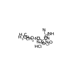 C[Si](C)(C)CCOCn1ccc2c(-c3cn(C4(CC#N)CNC4)nc3N3C(=O)CCC3=O)ncnc21.Cl